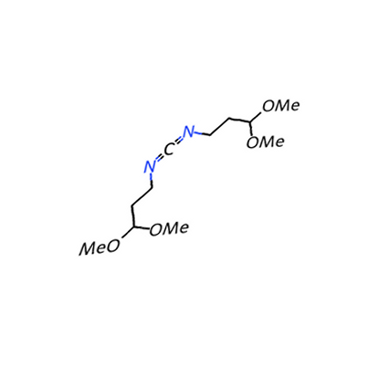 COC(CCN=C=NCCC(OC)OC)OC